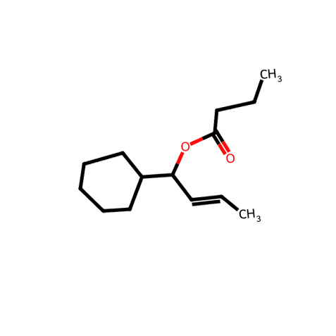 CC=CC(OC(=O)CCC)C1CCCCC1